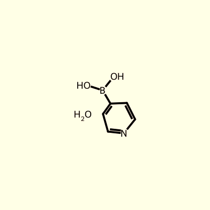 O.OB(O)c1ccncc1